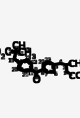 CCOC(=O)CC(C)Cc1ccc(C(=O)c2ccc(CC(C)(C)C(=O)OCC)cc2)cc1